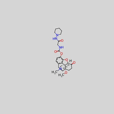 CO[C@@]12CCC(=O)[C@@H]3Oc4c(OC(=O)NCC(=O)NN5CCCCC5)ccc5c4[C@@]31CCN(C)C2C5